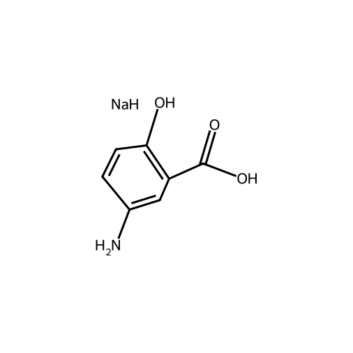 Nc1ccc(O)c(C(=O)O)c1.[NaH]